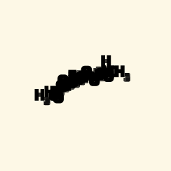 CC(=O)NC[C@H]1CN(c2ccc(N3CCN(C(=O)C=CC(=O)c4ccc(NC(C)=O)cc4)CC3)c(F)c2)C(=O)O1